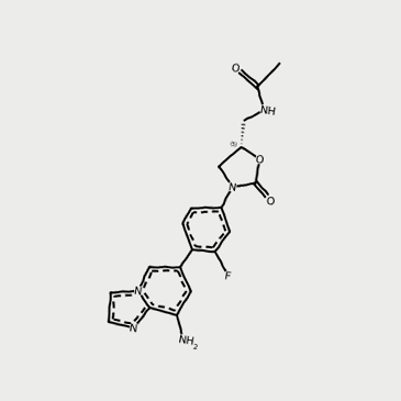 CC(=O)NC[C@H]1CN(c2ccc(-c3cc(N)c4nccn4c3)c(F)c2)C(=O)O1